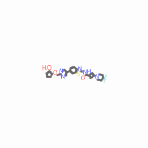 O=C(Nc1nc2ccc(-c3cnc(CO[C@H]4CCC[C@@H]4O)nc3)cc2s1)C1CC(N2CCC(F)(F)CC2)C1